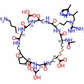 CC(=O)N[C@H]1CSS[C@@H](C(=O)O)CNC(=O)[C@H](CC(=O)O)NC(=O)[C@@H]2CCCC2C(=O)CNC(=O)[C@H](CCCCN)NC(=O)[C@H](CC(=O)O)NC(=O)CNC(=O)[C@H](CCCN(CC(C)n2nncc2C)C(=N)N)NC1=O